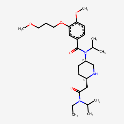 CCN(C(=O)C[C@H]1CC[C@@H](N(C(=O)c2ccc(OC)c(OCCCOC)c2)C(C)C)CN1)C(C)C